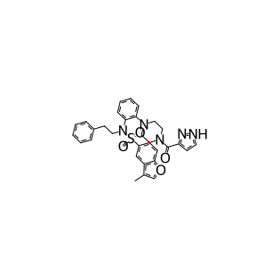 Cc1coc2ccc(S(=O)(=O)N(CCc3ccccc3)c3ccccc3N3CCN(C(=O)c4cc[nH]n4)CC3)cc12